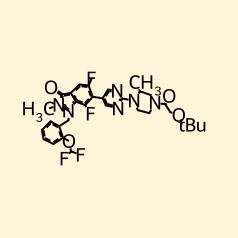 C[C@@H]1CN(C(=O)COC(C)(C)C)CCN1c1ncc(-c2c(F)cc3c(=O)n(C)n(Cc4ccccc4OC(F)F)c3c2F)cn1